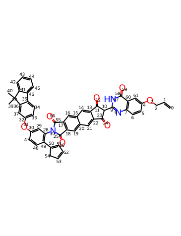 C=CCOc1ccc2nc(C3C(=O)c4cc5cc6c(cc5cc4C3=O)C(=O)N(c3cc(Oc4ccc5c(c4)C(C)(C)c4ccccc4-5)ccc3C3=CC=CC3)C6=O)[nH]c(=O)c2c1